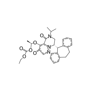 CCOC(=O)O[C@@H](C)Oc1c2n(ncc1=O)[C@@H](C1c3ccccc3CCc3ccccc31)CN(C(C)C)C2=O